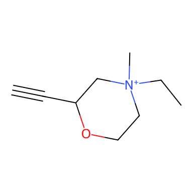 C#CC1C[N+](C)(CC)CCO1